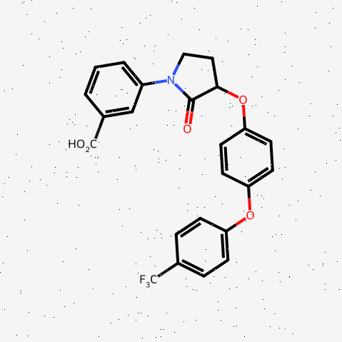 O=C(O)c1cccc(N2CCC(Oc3ccc(Oc4ccc(C(F)(F)F)cc4)cc3)C2=O)c1